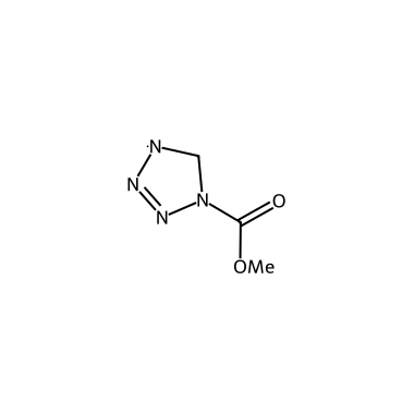 COC(=O)N1C[N]N=N1